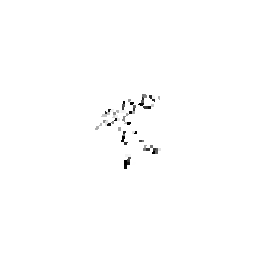 Cc1ccc(-c2ccc3c(c2)C(CCCCCCBr)(CCCCCCBr)c2cc(C)ccc2-3)cc1